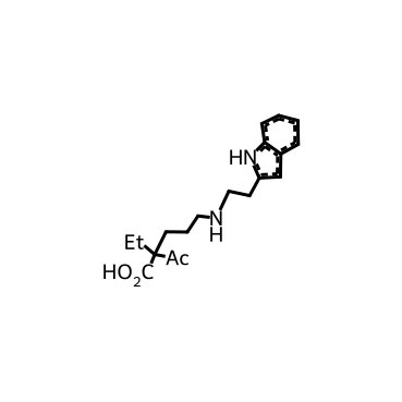 CCC(CCCNCCc1cc2ccccc2[nH]1)(C(C)=O)C(=O)O